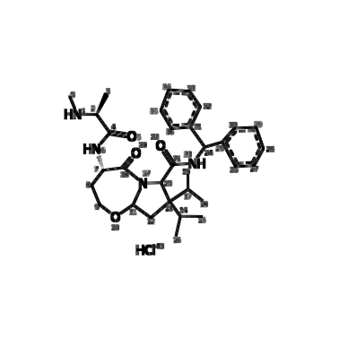 CN[C@@H](C)C(=O)N[C@H]1CCOC2CC(C(C)C)(C(C)C)C(C(=O)NC(c3ccccc3)c3ccccc3)N2C1=O.Cl